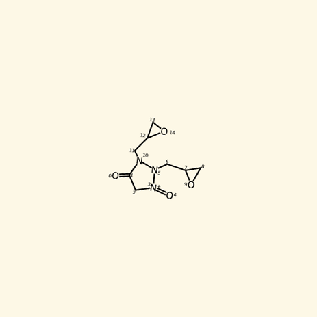 O=C1C[N+](=O)N(CC2CO2)N1CC1CO1